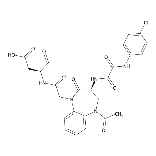 CC(=O)N1C[C@H](NC(=O)C(=O)Nc2ccc(Cl)cc2)C(=O)N(CC(=O)N[C@H](C=O)CC(=O)O)c2ccccc21